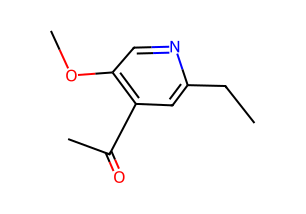 CCc1cc(C(C)=O)c(OC)cn1